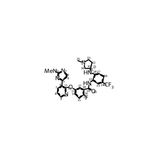 CNc1nccc(-c2cccnc2Oc2ccc(F)c(C(=O)Nc3cc(C(F)(F)F)ccc3N[C@]3(C)CCN(C)C3)c2)n1